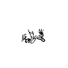 O=C(Nc1cc(C(F)(F)F)ccn1)OCc1cccc(-n2cnnn2)n1